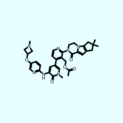 CC(=O)OCc1c(-c2cc(Nc3ccc(OC4CN(C)C4)cn3)c(=O)n(C)c2)ccnc1N1CCn2c(cc3c2CC(C)(C)C3)C1=O